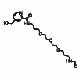 O=CNCCCOCCOCCOCCCNC(=O)c1cc(CO)ccn1